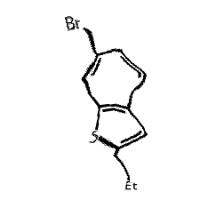 [CH2]Cc1cc2ccc(Br)cc2s1